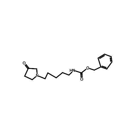 O=C1CCN(CCCCCNC(=O)OCc2ccccc2)C1